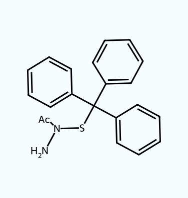 CC(=O)N(N)SC(c1ccccc1)(c1ccccc1)c1ccccc1